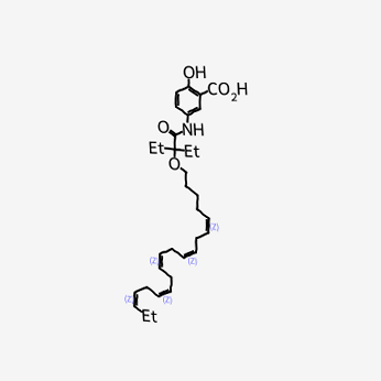 CC/C=C\C/C=C\C/C=C\C/C=C\C/C=C\CCCCOC(CC)(CC)C(=O)Nc1ccc(O)c(C(=O)O)c1